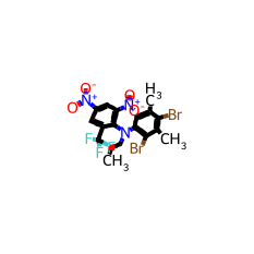 CCCN(c1cc(C)c(Br)c(C)c1Br)c1c([N+](=O)[O-])cc([N+](=O)[O-])cc1C(F)(F)F